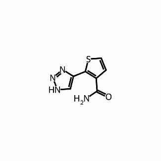 NC(=O)c1ccsc1-c1c[nH]nn1